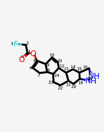 O=C(CF)OC1=CCC2C1C=CC1C3CC4CNNC4CC3CCC12